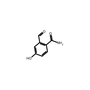 NC(=O)c1ccc(O)cc1C=O